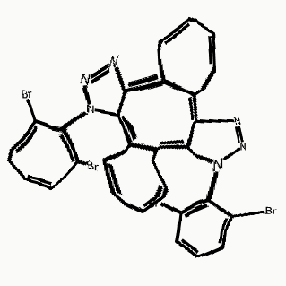 Brc1cccc(Br)c1-n1nnc2/c1=c1/cccc/c1=c1/c(nnn1-c1c(Br)cccc1Br)=c1/cccc/c1=2